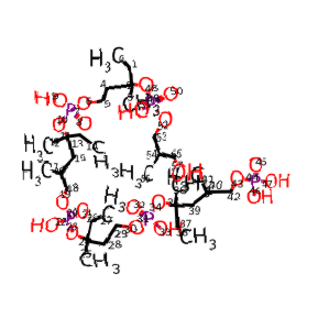 CCC(C)(CCOP(=O)(O)OC(C)(CC)CC(C)COP(=O)(O)OC(C)(CC)CCOP(=O)(O)OC(C)(CC)CC(C)COP(=O)(O)O)OP(=O)(O)OCC(C)CO